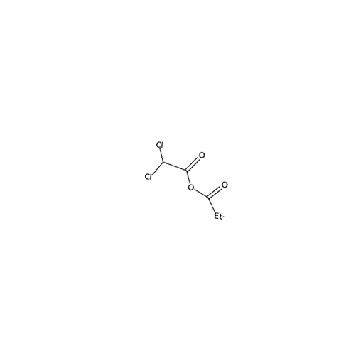 C[CH]C(=O)OC(=O)C(Cl)Cl